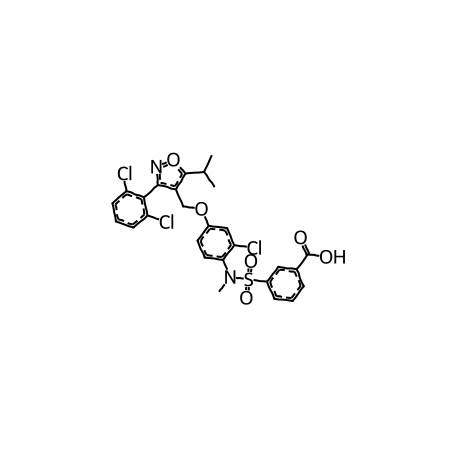 CC(C)c1onc(-c2c(Cl)cccc2Cl)c1COc1ccc(N(C)S(=O)(=O)c2cccc(C(=O)O)c2)c(Cl)c1